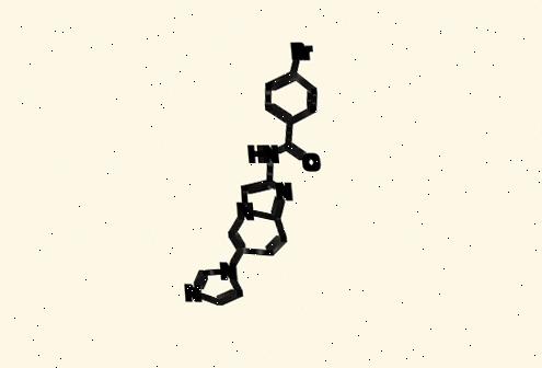 O=C(Nc1cn2cc(-n3ccnc3)ccc2n1)c1ccc(Br)cc1